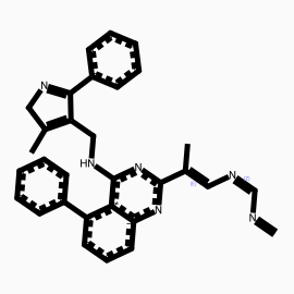 C=N/C=N\C=C(/C)c1nc(NCC2=C(C)CN=C2c2ccccc2)c2c(-c3ccccc3)cccc2n1